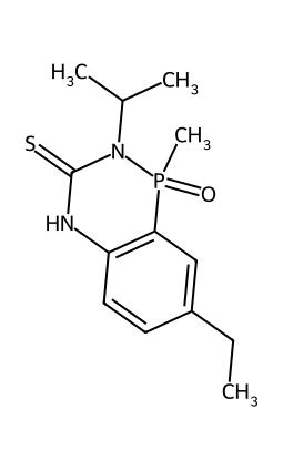 CCc1ccc2c(c1)P(C)(=O)N(C(C)C)C(=S)N2